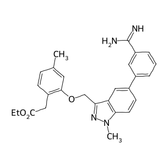 CCOC(=O)Cc1ccc(C)cc1OCc1nn(C)c2ccc(-c3cccc(C(=N)N)c3)cc12